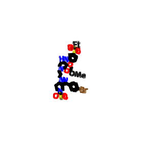 CCS(=O)(=O)c1ccc(OCC(=O)OC)c(NC2CCN(CCCn3nc(-c4ccc(Br)cc4)c4c3CCN(S(C)(=O)=O)C4)CC2)c1